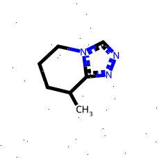 CC1CCCn2cnnc21